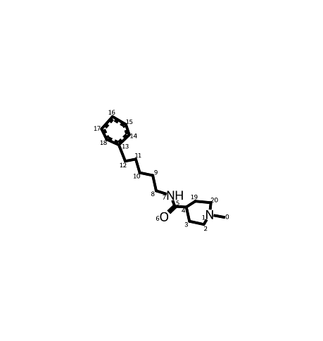 CN1CCC(C(=O)NCCCCCc2ccccc2)CC1